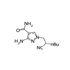 CCCCC(C#N)Cn1cc(C(N)=O)c(N)n1